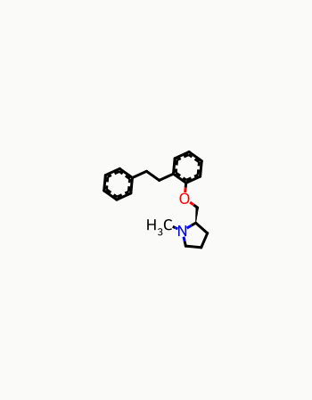 CN1CCC[C@@H]1COc1ccccc1CCc1ccccc1